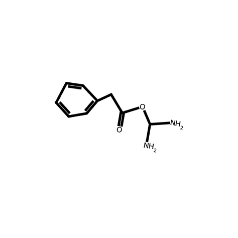 NC(N)OC(=O)Cc1ccccc1